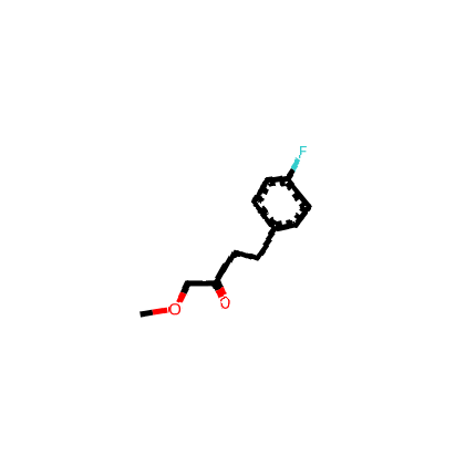 COCC(=O)CCc1ccc(F)cc1